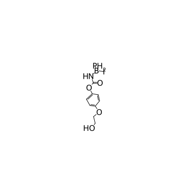 O=C(NB(P)I)Oc1ccc(OCCO)cc1